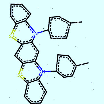 Cc1ccc(-n2c3ccccc3sc3cc4sc5ccccc5n(-c5ccc(C)cc5)c4cc32)cc1